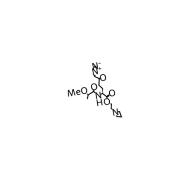 CO[C@H](C)C(=O)N[C@@H](CCC(=O)C=[N+]=[N-])C(=O)OCCN1CCC1